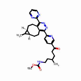 CC(CCNC(=O)OC(C)(C)C)CCC(=O)c1ccc(-c2nnc(-c3ncccn3)c3c2CC[C@H]2C(C)[C@H]2CC3)nc1